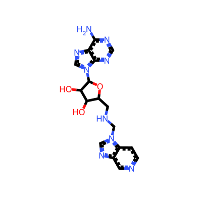 Nc1ncnc2c1ncn2C1OC(CNCn2cnc3cnccc32)C(O)C1O